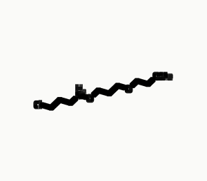 COCCOCCCO[SiH2]CCCCl